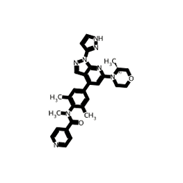 Cc1cc(-c2cc(N3CCOC[C@H]3C)nc3c2cnn3-c2cc[nH]n2)cc(C)c1N(C)C(=O)c1ccncc1